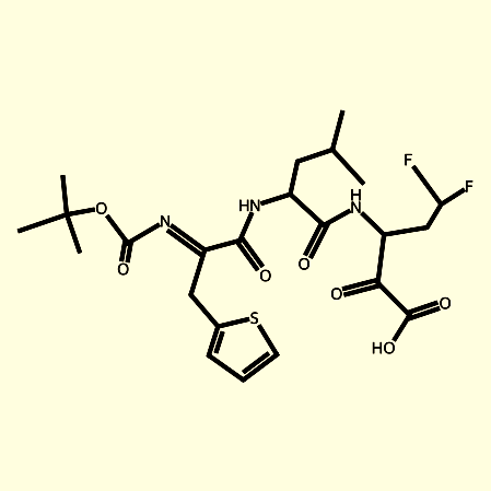 CC(C)CC(NC(=O)/C(Cc1cccs1)=N/C(=O)OC(C)(C)C)C(=O)NC(CC(F)F)C(=O)C(=O)O